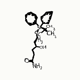 CC(C)(C)[Si](OCCC(O)CCC(N)=O)(c1ccccc1)c1ccccc1